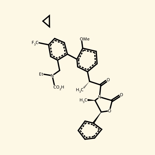 C1CC1.CCN(Cc1cc(C(F)(F)F)ccc1-c1cc([C@@H](C)C(=O)N2C(=O)O[C@@H](c3ccccc3)[C@H]2C)ccc1OC)C(=O)O